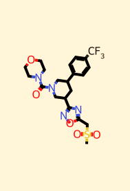 CS(=O)(=O)Cc1nc(C2CC(c3ccc(C(F)(F)F)cc3)CN(C(=O)N3CCOCC3)C2)no1